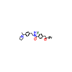 CC(C)C(=O)Cc1ccc(C(=O)NCCc2ccc(C(C)N3CCCC3)cc2)c(F)c1